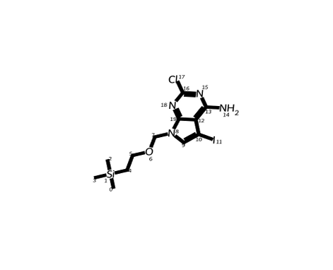 C[Si](C)(C)CCOCn1cc(I)c2c(N)nc(Cl)nc21